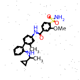 COc1cc(C(=O)Nc2ccc(-c3ccccc3NC(C)C3CC3)c(C)c2)ccc1S(N)(=O)=O